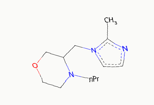 CCCN1CCOCC1Cn1ccnc1C